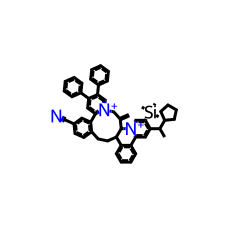 C=C1C[n+]2cc(-c3ccccc3)c(-c3ccccc3)cc2-c2cc(C#N)ccc2CCC2c3ccccc3-c3cc(C(C)C4CCCC4)c([Si](C)(C)C)c[n+]3C12